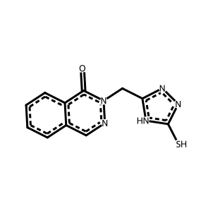 O=c1c2ccccc2cnn1Cc1nnc(S)[nH]1